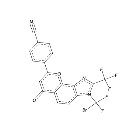 N#Cc1ccc(-c2cc(=O)c3ccc4c(nc(C(F)(F)F)n4C(F)(F)Br)c3o2)cc1